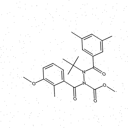 [CH2]OC(=O)N(C(=O)c1cccc(OC)c1C)N(C(=O)c1cc(C)cc(C)c1)C(C)(C)C